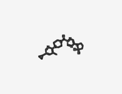 Cc1cc(C2CC2)cnc1N1CCN(C(=O)c2cnc(N3CCCS3(=O)=O)cn2)CC1